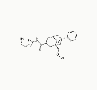 CCOC[C@]12CC3CC(C(=O)NC4CC5CNC4C5)(C1)C[C@@](c1ccccc1)(C3)C2